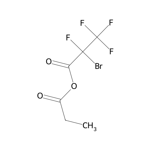 CCC(=O)OC(=O)C(F)(Br)C(F)(F)F